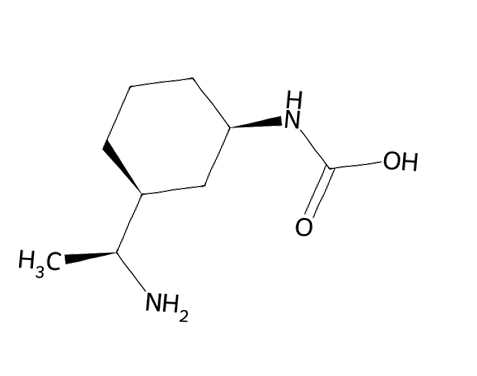 C[C@H](N)[C@H]1CCC[C@@H](NC(=O)O)C1